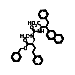 CN(C[C@H](CCc1ccccc1)C(=O)OCc1ccccc1)C(=O)N[C@H](C(=O)O)C(Cc1ccccc1)c1ccc2ccccc2c1